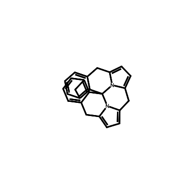 c1cc2c3c(c1)Cc1ccc4n1C31c3c(cccc3Cc3ccc(n31)C4)C2